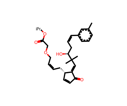 Cc1cccc(/C=C\C[C@H](O)C(C)(C)/C=C2/C(=O)C=C[C@@H]2C/C=C\COCC(=O)OC(C)C)c1